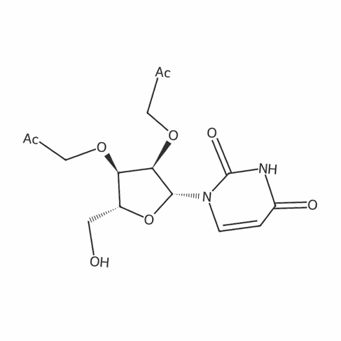 CC(=O)CO[C@@H]1[C@H](OCC(C)=O)[C@@H](CO)O[C@H]1n1ccc(=O)[nH]c1=O